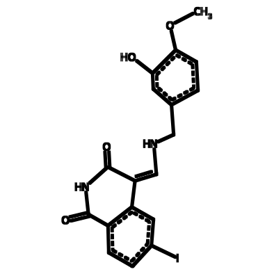 COc1ccc(CNC=C2C(=O)NC(=O)c3ccc(I)cc32)cc1O